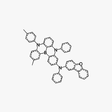 Cc1ccc(N2c3ccc(C)cc3B3c4ccc(N(c5ccccc5)c5ccc6oc7ccccc7c6c5)cc4N(c4ccccc4)c4cccc2c43)cc1